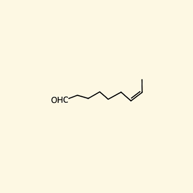 C/C=C\CCCCCC=O